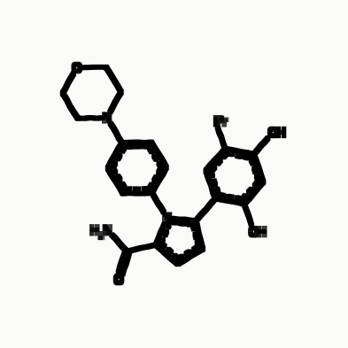 CC(C)c1cc(-c2ccc(C(N)=O)n2-c2ccc(N3CCOCC3)cc2)c(O)cc1O